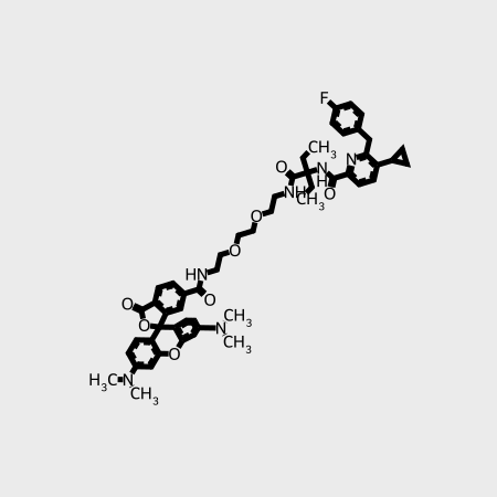 CCC(CC)(NC(=O)c1ccc(C2CC2)c(Cc2ccc(F)cc2)n1)C(=O)NCCOCCOCCNC(=O)c1ccc2c(c1)C1(OC2=O)c2ccc(N(C)C)cc2Oc2cc(N(C)C)ccc21